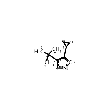 CC(C)(C)c1cnoc1C1CC1